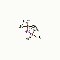 CC(C)(C)S(C)(C)PS(C)(C)C(C)(C)C